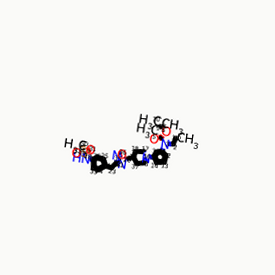 CCCN(C(=O)OC(C)(C)C)c1cccc(N2CCC(c3nc(Cc4ccc(NS(C)(=O)=O)cc4)no3)CC2)c1